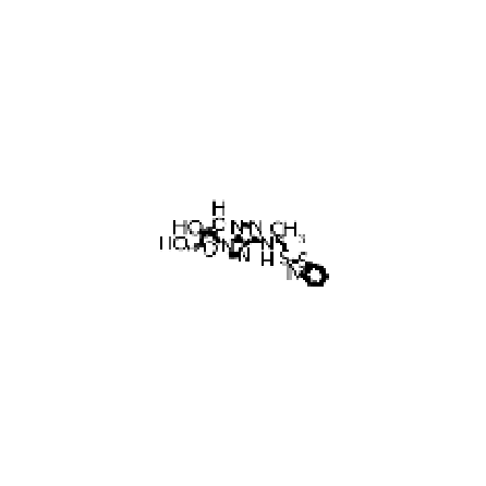 C[C@H](CSc1nc2ccccc2s1)Nc1ncnc2c1ncn2[C@@H]1O[C@H](CO)[C@@H](O)[C@H]1O